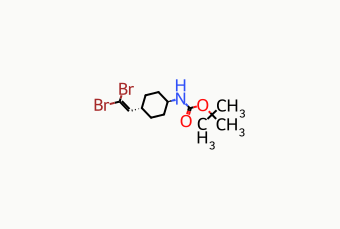 CC(C)(C)OC(=O)N[C@H]1CC[C@H](C=C(Br)Br)CC1